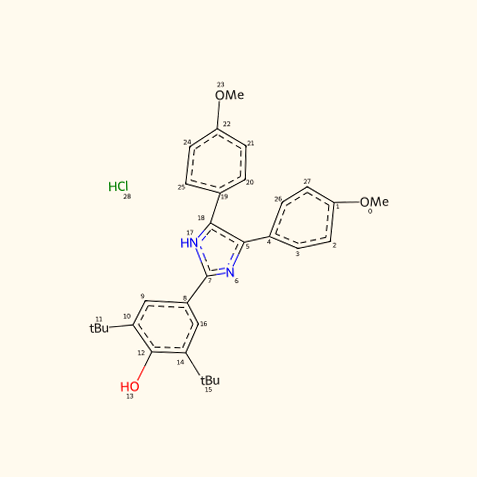 COc1ccc(-c2nc(-c3cc(C(C)(C)C)c(O)c(C(C)(C)C)c3)[nH]c2-c2ccc(OC)cc2)cc1.Cl